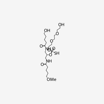 COCCCCC(=O)NCC(CNC(=O)CCCCO)OP(=O)(S)OCCOCCOCCO